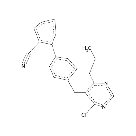 CCCc1ncnc(Cl)c1Cc1ccc(-c2ccccc2C#N)cc1